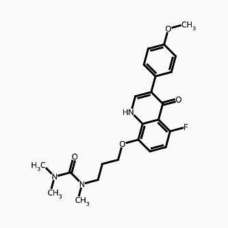 COc1ccc(-c2c[nH]c3c(OCCCN(C)C(=O)N(C)C)ccc(F)c3c2=O)cc1